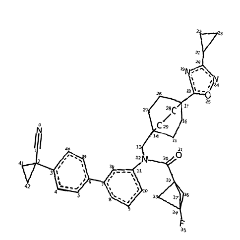 N#CC1(c2ccc(-c3cccc(N(CC45CCC(c6nc(C7CC7)no6)(CC4)CC5)C(=O)C45CC(F)(C4)C5)c3)cc2)CC1